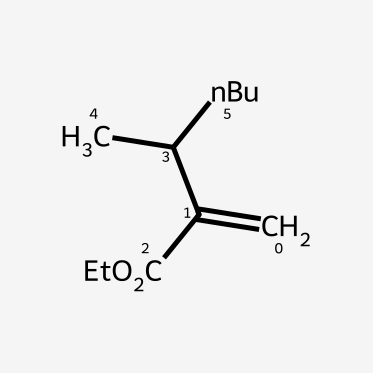 C=C(C(=O)OCC)C(C)CCCC